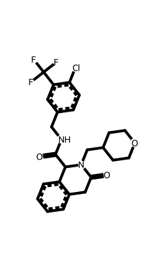 O=C(NCc1ccc(Cl)c(C(F)(F)F)c1)C1c2ccccc2CC(=O)N1CC1CCOCC1